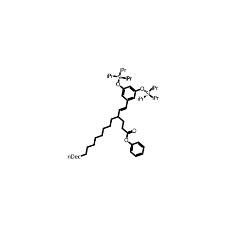 CCCCCCCCCCCCCCCCCCC(/C=C/c1cc(O[Si](C(C)C)(C(C)C)C(C)C)cc(O[Si](C(C)C)(C(C)C)C(C)C)c1)CCC(=O)Oc1ccccc1